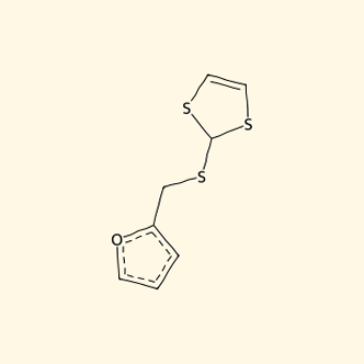 C1=CSC(SCc2ccco2)S1